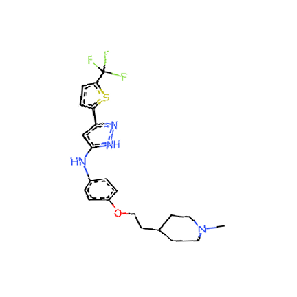 CN1CCC(CCOc2ccc(Nc3cc(-c4ccc(C(F)(F)F)s4)n[nH]3)cc2)CC1